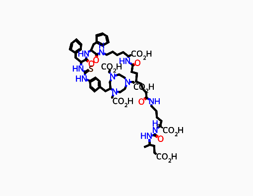 CC(CCC(=O)O)NC(=O)N[C@@H](CCCCNC(=O)CCCCCCC(=O)NC(CCCCNC(=O)C(Cc1ccccc1)NC(=O)C(Cc1ccccc1)NC(=S)Nc1ccc(CC2CN(CC(=O)O)CCN(CC(=O)O)CCN2CC(=O)O)cc1)C(=O)O)C(=O)O